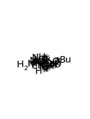 CC(Nc1nc(N)nc(N)c1C#N)c1nc2cccc(C3=CCN(C(=O)OC(C)(C)C)CC3)c2c(=O)n1-c1ccccc1